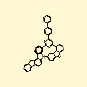 c1ccc(-c2ccc(-c3nc(-c4ccccc4)nc(-c4cccc5oc6ccc(-n7c8ccccc8c8c9sc%10ccccc%10c9ccc87)cc6c45)n3)cc2)cc1